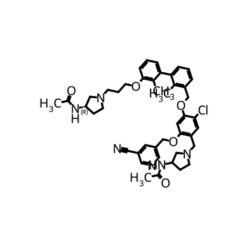 CC(=O)NC1CCN(Cc2cc(Cl)c(OCc3cccc(-c4cccc(OCCCN5CC[C@@H](NC(C)=O)C5)c4C)c3C)cc2OCc2cncc(C#N)c2)C1